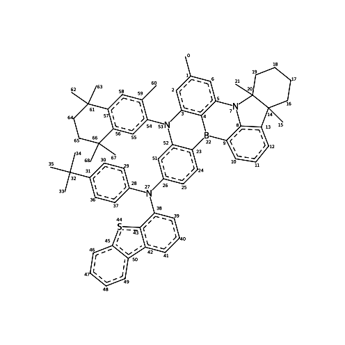 Cc1cc2c3c(c1)N1c4c(cccc4C4(C)CCCCC14C)B3c1ccc(N(c3ccc(C(C)(C)C)cc3)c3cccc4c3sc3ccccc34)cc1N2c1cc2c(cc1C)C(C)(C)CCC2(C)C